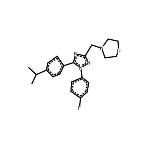 CC(C)c1ccc(-c2nc(CN3CCOCC3)nn2-c2ccc(F)cc2)cc1